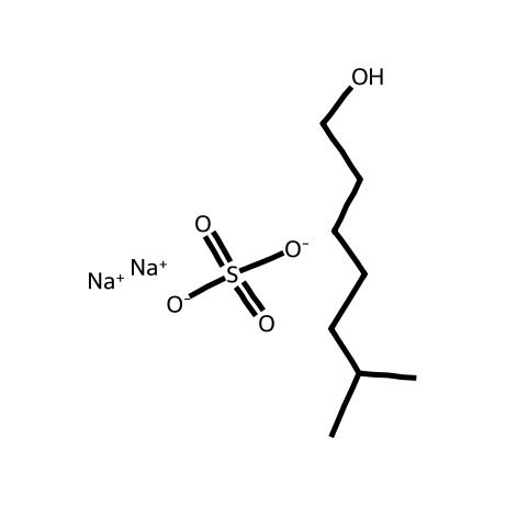 CC(C)CCCCCO.O=S(=O)([O-])[O-].[Na+].[Na+]